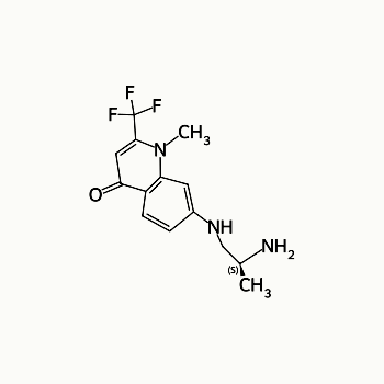 C[C@H](N)CNc1ccc2c(=O)cc(C(F)(F)F)n(C)c2c1